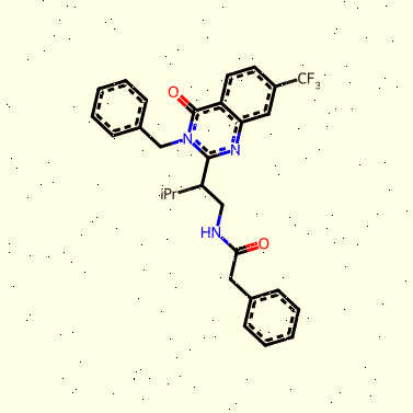 CC(C)C(CNC(=O)Cc1ccccc1)c1nc2cc(C(F)(F)F)ccc2c(=O)n1Cc1ccccc1